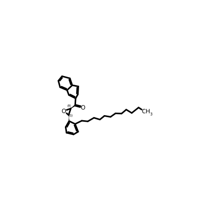 CCCCCCCCCCCCc1ccccc1[C@@H]1O[C@H]1C(=O)c1ccc2ccccc2c1